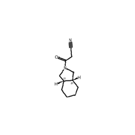 N#CCC(=O)N1C[C@H]2CCCC[C@H]2C1